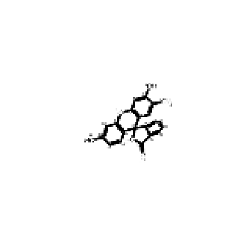 Cc1cc2c(cc1O)Oc1cc(O)ccc1C21OC(=O)c2ccccc21